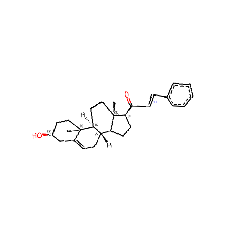 C[C@]12CC[C@H](O)CC1=CC[C@H]1C3CC[C@H](C(=O)/C=C/c4ccccc4)[C@@]3(C)CC[C@@H]12